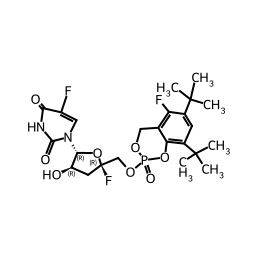 CC(C)(C)c1cc(C(C)(C)C)c2c(c1F)COP(=O)(OC[C@]1(F)C[C@@H](O)[C@H](n3cc(F)c(=O)[nH]c3=O)O1)O2